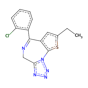 CCc1cc2c(s1)-n1nnnc1CN=C2c1ccccc1Cl